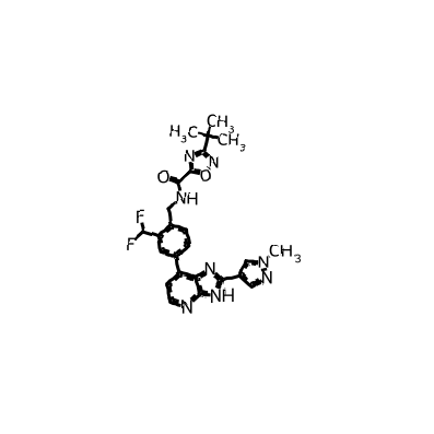 Cn1cc(-c2nc3c(-c4ccc(CNC(=O)c5nc(C(C)(C)C)no5)c(C(F)F)c4)ccnc3[nH]2)cn1